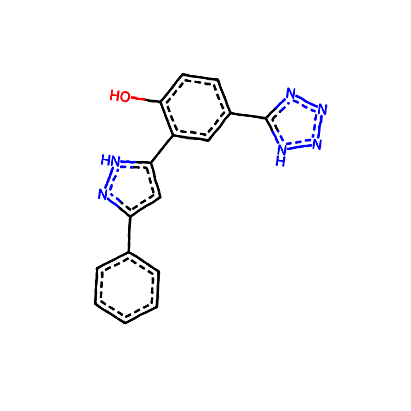 Oc1ccc(-c2nnn[nH]2)cc1-c1cc(-c2ccccc2)n[nH]1